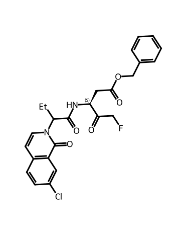 CCC(C(=O)N[C@@H](CC(=O)OCc1ccccc1)C(=O)CF)n1ccc2ccc(Cl)cc2c1=O